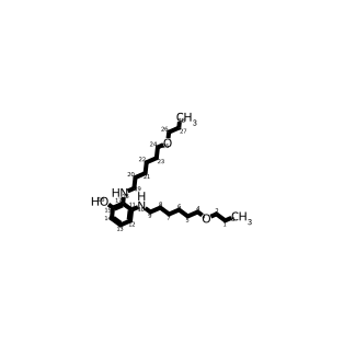 CCCOCCCCCCNc1cccc(O)c1NCCCCCCOCCC